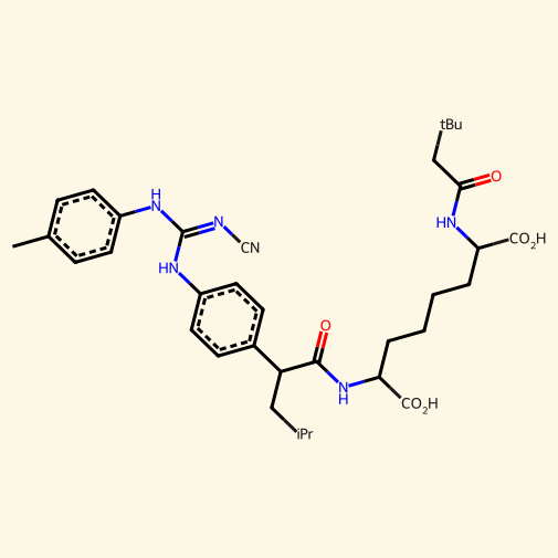 Cc1ccc(NC(=NC#N)Nc2ccc(C(CC(C)C)C(=O)NC(CCCCC(NC(=O)CC(C)(C)C)C(=O)O)C(=O)O)cc2)cc1